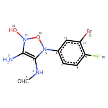 NC1=C(NC=O)N(c2ccc(F)c(Br)c2)ON1O